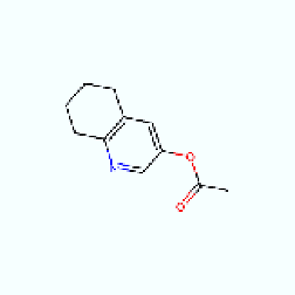 CC(=O)Oc1cnc2c(c1)CCCC2